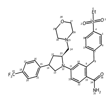 CCS(=O)(=O)c1ccc(Cc2cc(N3CC(c4ccc(C(F)(F)F)cc4)C[C@H]3CN3CCOCC3)ccc2C(N)=O)cc1